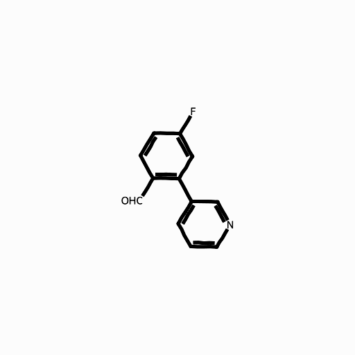 O=Cc1ccc(F)cc1-c1cccnc1